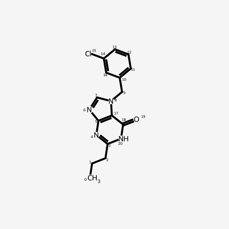 CCCc1nc2ncn(Cc3cccc(Cl)c3)c2c(=O)[nH]1